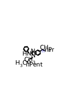 CCC/C=C(\C)c1ccc2c(c1)nc(Nc1ccccc1)n2CCSC(C)(C)CCCCC